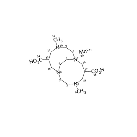 CN1CCN2CCN(CCN(C)CC(C(=O)O)C2)CC(C(=O)O)C1.[Mn+2]